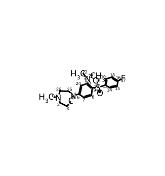 CN1CCCN(c2ccc(S(=O)(=O)c3ccc(F)cc3)c(N(C)C)c2)CC1